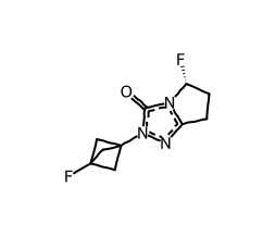 O=c1n(C23CC(F)(C2)C3)nc2n1[C@H](F)CC2